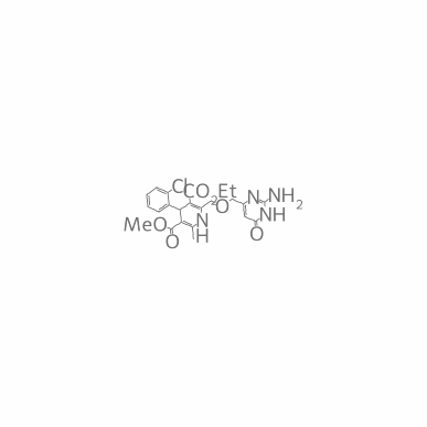 CCOC(=O)C1=C(COCc2cc(=O)[nH]c(N)n2)NC(C)=C(C(=O)OC)C1c1ccccc1Cl